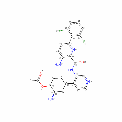 CC(=O)O[C@H]1CC[C@@H](c2ccncc2NC(=O)c2nc(-c3c(F)cccc3F)ccc2N)C[C@H]1N